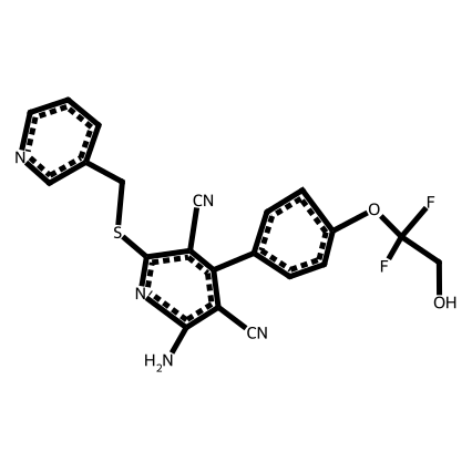 N#Cc1c(N)nc(SCc2cccnc2)c(C#N)c1-c1ccc(OC(F)(F)CO)cc1